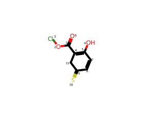 O=C(OCl)C1=C(O)C=CC(=S)C1